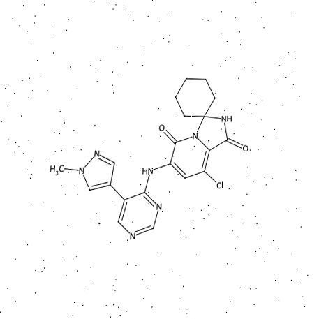 Cn1cc(-c2cncnc2Nc2cc(Cl)c3n(c2=O)C2(CCCCC2)NC3=O)cn1